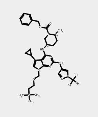 [2H]C([2H])([2H])n1cc(Nc2nc(N[C@@H]3CC[C@H](C)N(C(=O)OCc4ccccc4)C3)c3c(C4CC4)cn(COCC[Si](C)(C)C)c3n2)cn1